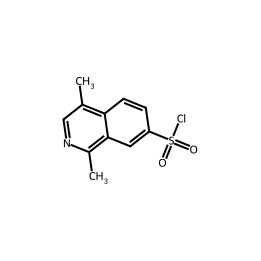 Cc1cnc(C)c2cc(S(=O)(=O)Cl)ccc12